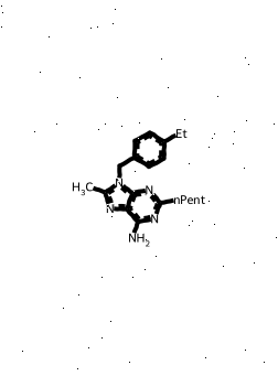 CCCCCc1nc(N)c2nc(C)n(Cc3ccc(CC)cc3)c2n1